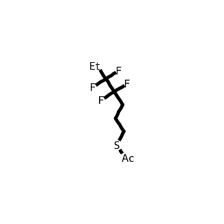 CCC(F)(F)C(F)(F)CCCSC(C)=O